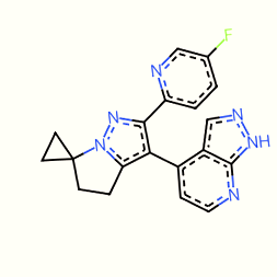 Fc1ccc(-c2nn3c(c2-c2ccnc4[nH]ncc24)CCC32CC2)nc1